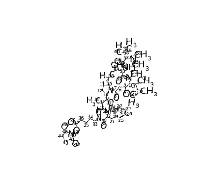 CCC(C)[C@@H]([C@@H](CC(=O)N1CCC[C@H]1[C@H](OC)[C@@H](C)C(=O)N[C@@H](Cc1ccccc1)C(=O)NCCCCC(=O)ON1C(=O)CCC1=O)OC)N(C)C(=O)[C@@H](NC(=O)[C@H](C(C)C)N(C)C)C(C)C